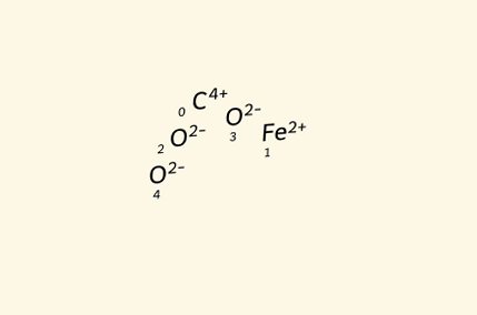 [C+4].[Fe+2].[O-2].[O-2].[O-2]